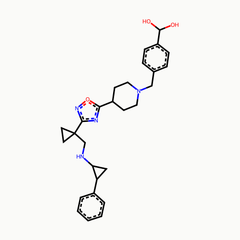 OC(O)c1ccc(CN2CCC(c3nc(C4(CNC5CC5c5ccccc5)CC4)no3)CC2)cc1